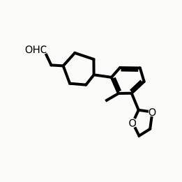 Cc1c(C2CCC(CC=O)CC2)cccc1C1OCCO1